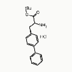 CC(C)(C)OC(=O)C(N)Cc1ccc(-c2ccccc2)cc1.Cl